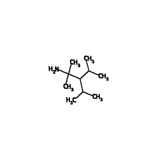 CC(C)C(C(C)C)C(C)(C)N